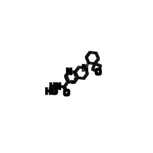 O=C(NO)c1cnc2c(c1)CCN([C@@H]1CCCCC13COC3)C2